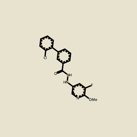 COc1ncc(NNC(=O)c2cccc(-c3ccccc3Cl)c2)cc1F